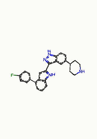 Fc1ccc(-c2cccc3[nH]c(-c4n[nH]c5ccc(C6CCNCC6)cc45)cc23)cc1